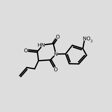 C=CCC1C(=O)NC(=O)N(c2cccc([N+](=O)[O-])c2)C1=O